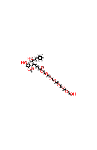 CC(=O)O[C@H]1C[C@@H](O)[C@H](CC[C@@H](O)CCc2ccccc2)[C@H]1C/C=C\CCCC(=O)OCCOCCOCCOCCOCCOCCOCCO